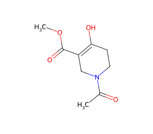 COC(=O)C1=C(O)CCN(C(C)=O)C1